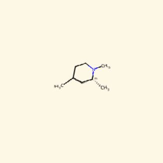 CC1CCN(C)[C@H](C)C1